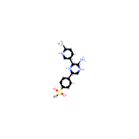 CC(C)S(=O)(=O)c1ccc(-c2cnc(N)c(-c3ccc(C(F)(F)F)nc3)n2)cc1